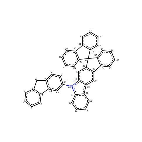 c1ccc2c(c1)Cc1ccc(-n3c4ccccc4c4cc5c(cc43)C3(c4ccccc4-c4ccccc43)c3ccccc3-5)cc1-2